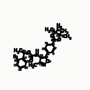 Cc1noc(-c2ccc(B3OC(C)(C)C(C)(C)O3)cc2)c1NC(=O)O[C@H](C)c1ccccc1F